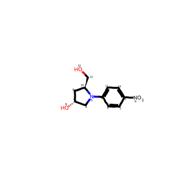 O=[N+]([O-])c1ccc(N2C[C@H](O)C[C@H]2CO)cc1